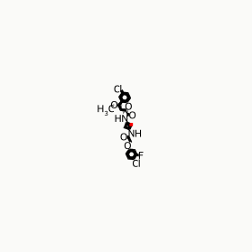 CO[C@@H]1C[C@H](C(=O)NC23CC(NC(=O)COc4ccc(Cl)c(F)c4)(C2)C3)Oc2ccc(Cl)cc21